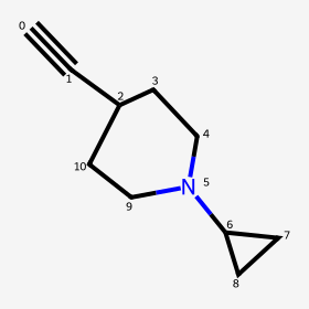 C#CC1CCN(C2CC2)CC1